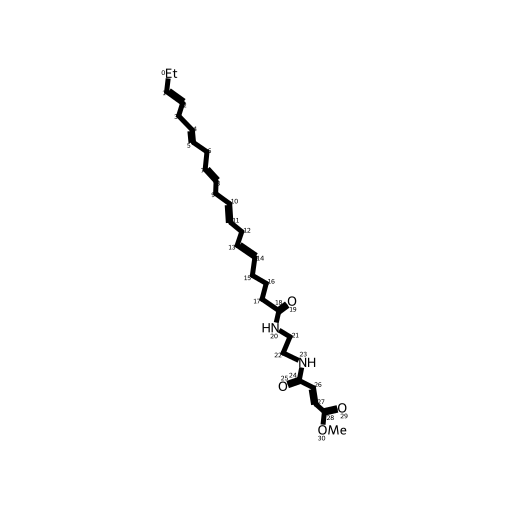 CCC=CCC=CCC=CCC=CCC=CCCCC(=O)NCCNC(=O)/C=C/C(=O)OC